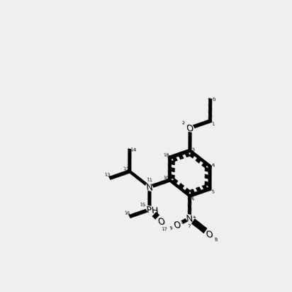 CCOc1ccc([N+](=O)[O-])c(N(C(C)C)[PH](C)=O)c1